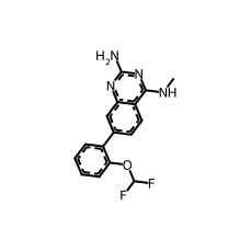 CNc1nc(N)nc2cc(-c3ccccc3OC(F)F)ccc12